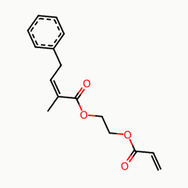 C=CC(=O)OCCOC(=O)C(C)=CCc1ccccc1